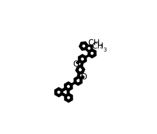 CC1(C)c2ccccc2-c2c(-c3ccc4oc5cc6c(cc5c4c3)oc3ccc(-c4ccc5c7ccccc7c7ccccc7c5c4)cc36)cccc21